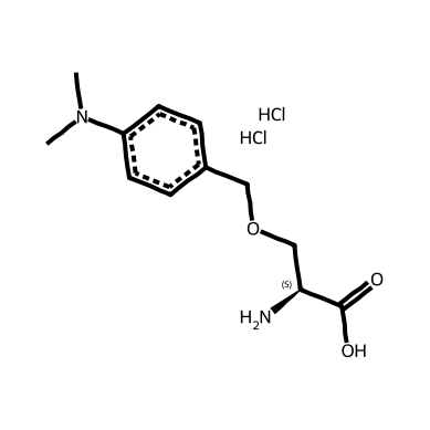 CN(C)c1ccc(COC[C@H](N)C(=O)O)cc1.Cl.Cl